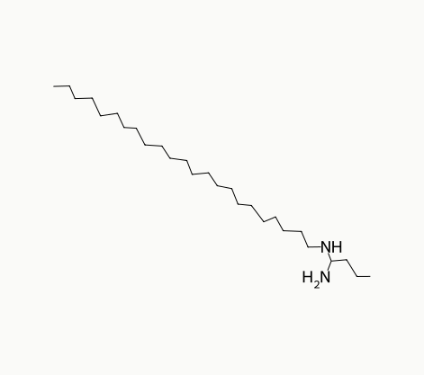 CCCCCCCCCCCCCCCCCCCCCCCNC(N)CCC